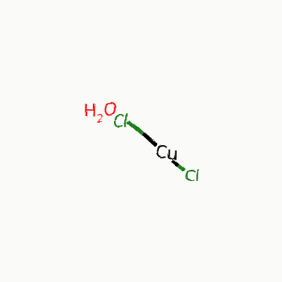 O.[Cl][Cu][Cl]